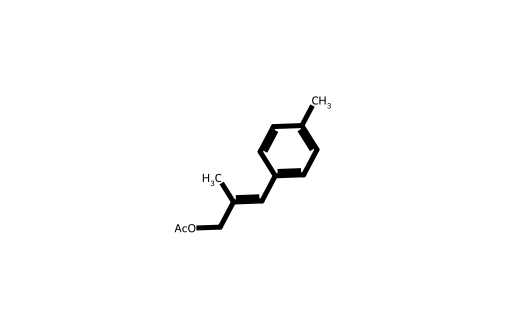 CC(=O)OC/C(C)=C/c1ccc(C)cc1